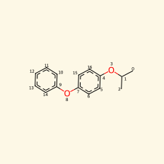 CC(C)Oc1ccc(Oc2ccccc2)cc1